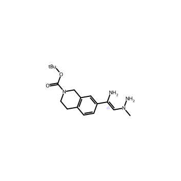 CN(N)/C=C(\N)c1ccc2c(c1)CN(C(=O)OC(C)(C)C)CC2